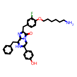 NCCCCCCOc1ccc(Cc2nc3c(Cc4ccccc4)[nH]c(-c4ccc(O)cc4)cn-3c2=O)cc1F